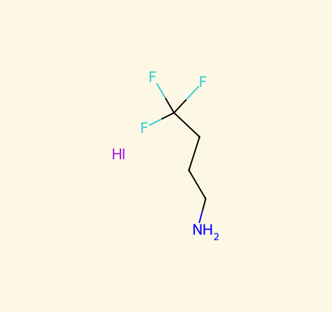 I.NCCCC(F)(F)F